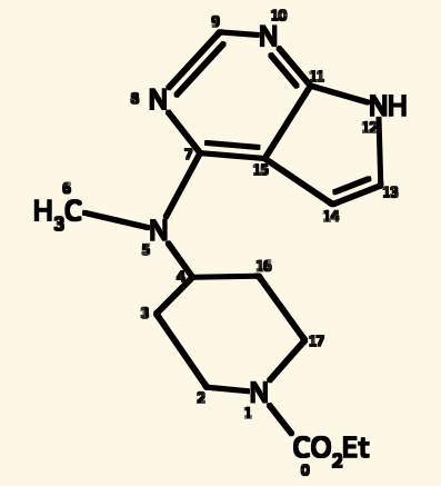 CCOC(=O)N1CCC(N(C)c2ncnc3[nH]ccc23)CC1